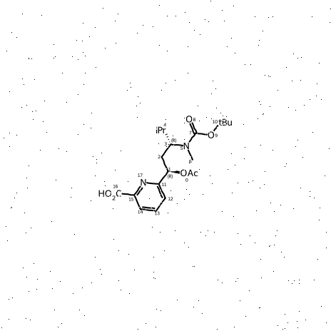 CC(=O)O[C@H](C[C@H](C(C)C)N(C)C(=O)OC(C)(C)C)c1cccc(C(=O)O)n1